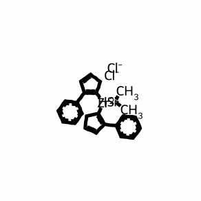 C[SiH](C)[Zr+2]([C]1=C(c2ccccc2)C=CC1)[C]1=C(c2ccccc2)C=CC1.[Cl-].[Cl-]